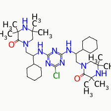 CC1(C)CN(CC(Nc2nc(Cl)nc(NC(CN3CC(C)(C)NC(C)(C)C3=O)C3CCCCC3)n2)C2CCCCC2)C(=O)C(C)(C)N1